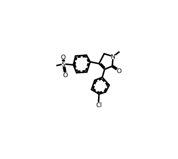 CN1CC(c2ccc(S(C)(=O)=O)cc2)=C(c2ccc(Cl)cc2)C1=O